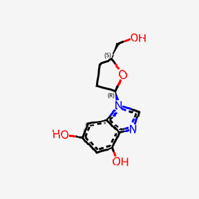 OC[C@@H]1CC[C@H](n2cnc3c(O)cc(O)cc32)O1